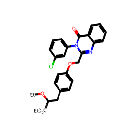 CCOC(=O)C(Cc1ccc(OCc2nc3ccccc3c(=O)n2-c2cccc(Cl)c2)cc1)OCC